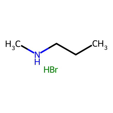 Br.CCCNC